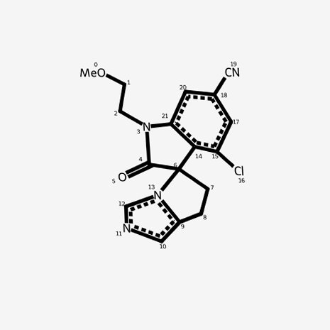 COCCN1C(=O)C2(CCc3cncn32)c2c(Cl)cc(C#N)cc21